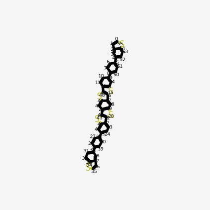 c1cc2cc(-c3ccc(-c4ccc5c(c4)sc4c6cc7sc8c9ccc(-c%10ccc(-c%11ccc%12sccc%12c%11)cc%10)cc9sc8c7cc6sc54)cc3)ccc2s1